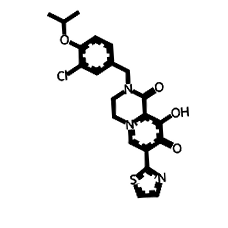 CC(C)Oc1ccc(CN2CCn3cc(-c4nccs4)c(=O)c(O)c3C2=O)cc1Cl